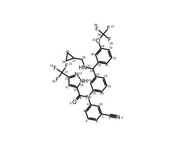 N#Cc1cccc(N(C(=O)c2cc(C(F)(F)F)n[nH]2)c2cccc(C(NCC3CC3)c3cccc(OC(F)(F)F)c3)c2)c1